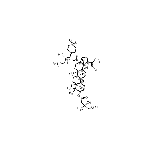 C=C(C)[C@@H]1CC[C@]2(NC[C@H]([C@@H](C)NC(=O)OCC)N3CCS(=O)(=O)CC3)CC[C@]3(C)[C@H](CC[C@@H]4[C@@]5(C)CC[C@H](OC(=O)CC(C)(C)CC(=O)O)C(C)(C)[C@@H]5CC[C@]43C)[C@@H]12